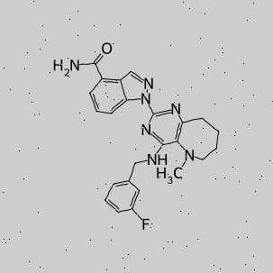 CN1CCCCc2nc(-n3ncc4c(C(N)=O)cccc43)nc(NCc3cccc(F)c3)c21